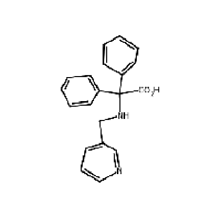 O=C(O)C(NCc1cccnc1)(c1ccccc1)c1ccccc1